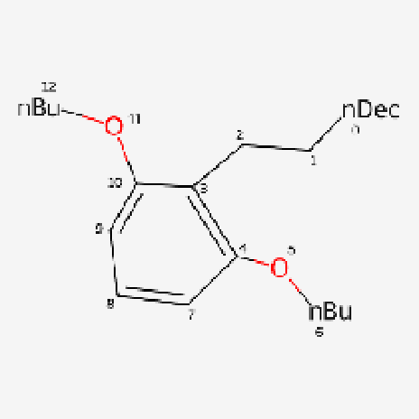 CCCCCCCCCCCCc1c(OCCCC)cccc1OCCCC